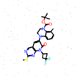 CSc1ncc2cc(N3CCN(C(=O)OC(C)(C)C)c4c(C)cccc43)c(=O)n(C3CC(F)(F)C3)c2n1